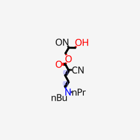 CCCCN(/C=C/C=C(\C#N)C(=O)OCC(CO)N=O)CCC